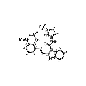 C=C(C)Oc1c(/C=C/c2nc3ccccn3c2C(=O)Nc2nc(C(F)(F)F)cs2)cccc1OC